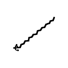 CCCCCCCCCCCCCCCCCC[P](C)(C)C